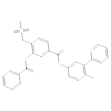 CS(=O)(=O)Cc1ccc(C(=O)Nc2ccc(I)c(-c3ccccn3)c2)cc1NC(=O)c1ccccc1